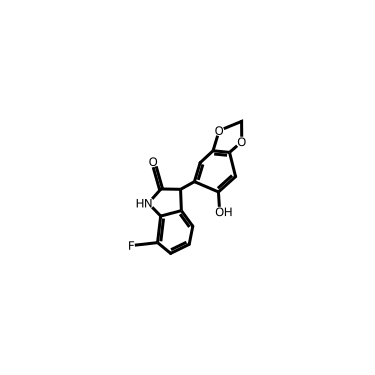 O=C1Nc2c(F)cccc2C1c1cc2c(cc1O)OCO2